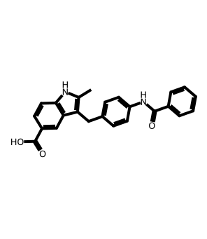 Cc1[nH]c2ccc(C(=O)O)cc2c1Cc1ccc(NC(=O)c2ccccc2)cc1